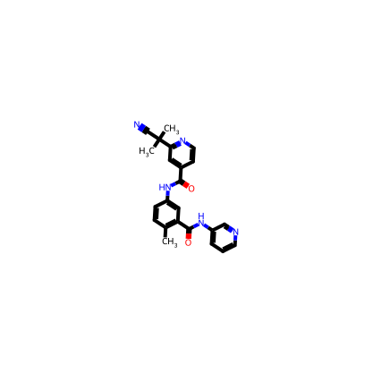 Cc1ccc(NC(=O)c2ccnc(C(C)(C)C#N)c2)cc1C(=O)Nc1cccnc1